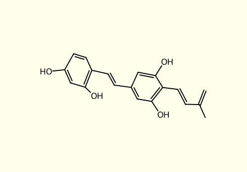 C=C(C)/C=C/c1c(O)cc(/C=C/c2ccc(O)cc2O)cc1O